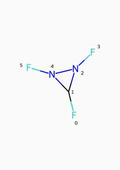 FC1N(F)N1F